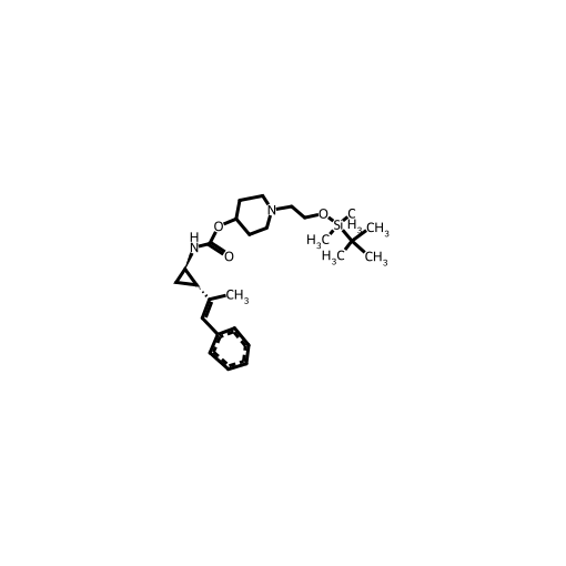 C/C(=C\c1ccccc1)[C@@H]1C[C@H]1NC(=O)OC1CCN(CCO[Si](C)(C)C(C)(C)C)CC1